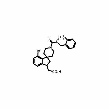 CN(Cc1ccccc1F)C(=O)N1CCC2(CC1)CC(CC(=O)O)c1cccc(Br)c12